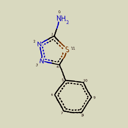 Nc1nnc(-c2[c]cccc2)s1